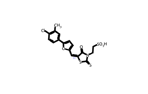 Cc1cc(-c2ccc(/C=C3/SC(=S)N(CCS(=O)(=O)O)C3=O)o2)ccc1Cl